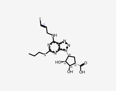 CCCSc1nc(NC/C=C/I)c2nnn([C@@H]3C[C@H](C(=O)O)[C@@H](O)[C@H]3O)c2n1